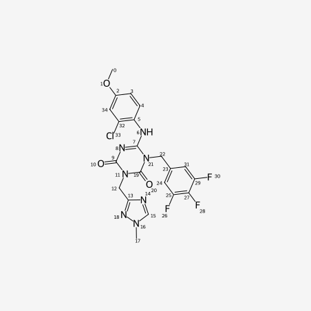 COc1ccc(Nc2nc(=O)n(Cc3ncn(C)n3)c(=O)n2Cc2cc(F)c(F)c(F)c2)c(Cl)c1